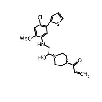 C=CC(=O)N1CCN(C(O)CNc2cc(-c3cccs3)c(Cl)cc2OC)CC1